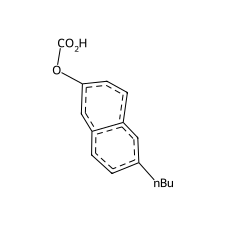 CCCCc1ccc2cc(OC(=O)O)ccc2c1